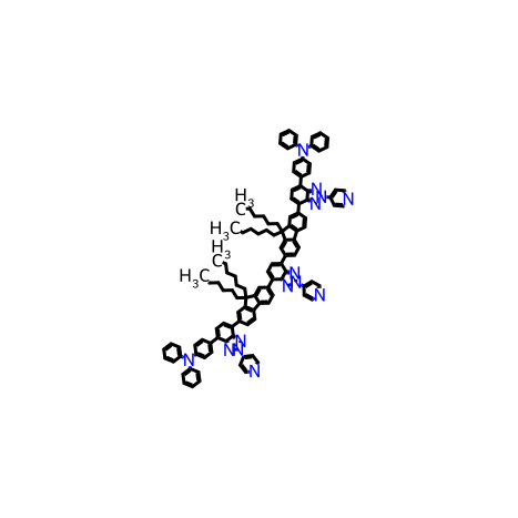 CCCCCCC1(CCCCCC)c2cc(-c3ccc(-c4ccc(N(c5ccccc5)c5ccccc5)cc4)c4nn(-c5ccncc5)nc34)ccc2-c2ccc(-c3ccc(-c4ccc5c(c4)C(CCCCCC)(CCCCCC)c4cc(-c6ccc(-c7ccc(N(c8ccccc8)c8ccccc8)cc7)c7nn(-c8ccncc8)nc67)ccc4-5)c4nn(-c5ccncc5)nc34)cc21